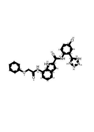 O=C(COc1ccccc1)Nc1cccc2cc(C(=O)Nc3ccc(Cl)cc3-c3nnn[nH]3)[nH]c12